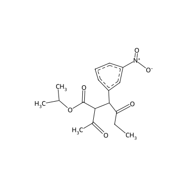 CCC(=O)C(c1cccc([N+](=O)[O-])c1)C(C(C)=O)C(=O)OC(C)C